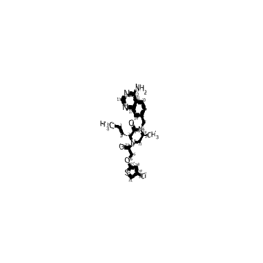 CCC[C@@H]1C(=O)N(Cc2ccc3c(N)ncnc3c2)[C@@H](C)CN1C(=O)COc1cc(Cl)cs1